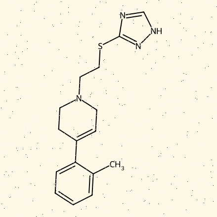 Cc1ccccc1C1=CCN(CCSc2nc[nH]n2)CC1